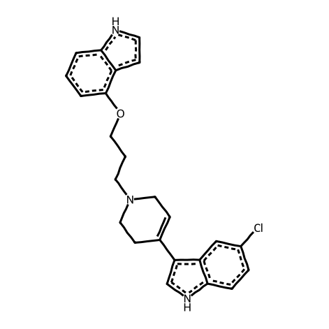 Clc1ccc2[nH]cc(C3=CCN(CCCOc4cccc5[nH]ccc45)CC3)c2c1